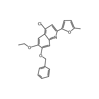 CCOc1cc2c(Cl)cc(-c3ccc(C)o3)nc2cc1OCc1ccccc1